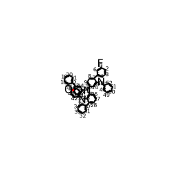 Fc1ccc2c(c1)c1ccc(N(c3ccc4oc5ccccc5c4c3)c3cccc4c5ccccc5n(-c5ccccc5)c34)cc1n2-c1ccccc1